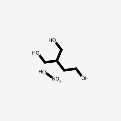 O=[N+]([O-])O.OCCC(CO)CO